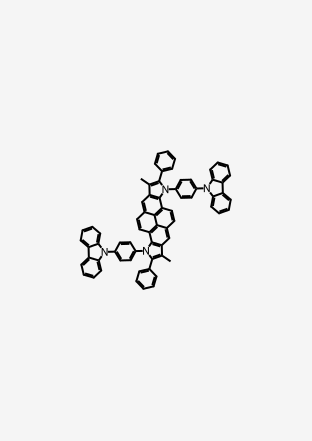 Cc1c(-c2ccccc2)n(-c2ccc(-n3c4ccccc4c4ccccc43)cc2)c2c1cc1ccc3c4c(ccc2c14)cc1c(C)c(-c2ccccc2)n(-c2ccc(-n4c5ccccc5c5ccccc54)cc2)c13